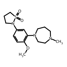 COc1ccc(N2CCCS2(=O)=O)cc1N1CCCN(C)CC1